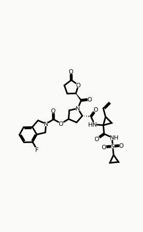 C=CC1CC1(NC(=O)[C@@H]1CC(OC(=O)N2Cc3cccc(F)c3C2)CN1C(=O)[C@H]1CCC(=O)O1)C(=O)NS(=O)(=O)C1CC1